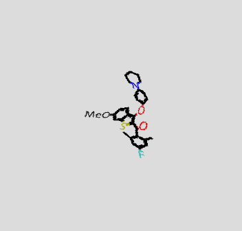 COc1ccc2c(Oc3ccc(N4CCCCC4)cc3)c(C(=O)c3c(C)cc(F)cc3C)sc2c1